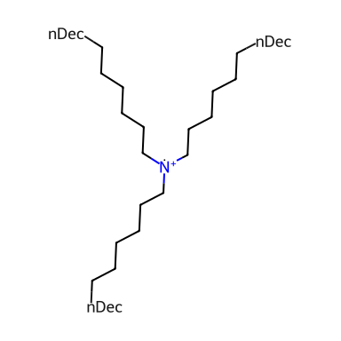 CCCCCCCCCCCCCCCC[N+](CCCCCCCCCCCCCCCC)CCCCCCCCCCCCCCCC